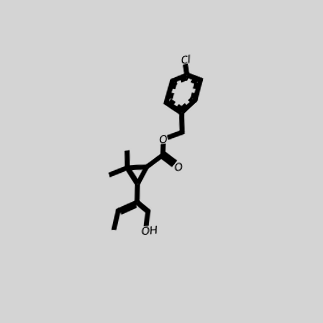 CC=C(CO)C1C(C(=O)OCc2ccc(Cl)cc2)C1(C)C